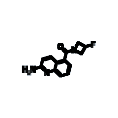 Nc1ccc2c(C(=O)N3CC(F)C3)cccc2n1